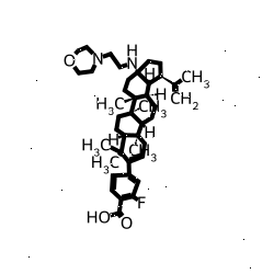 C=C(C)[C@@H]1CC[C@]2(NCCN3CCOCC3)CC[C@]3(C)[C@H](CC[C@@H]4[C@@]5(C)CC=C(c6ccc(C(=O)O)c(F)c6)C(C)(C)[C@@H]5CC[C@]43C)[C@@H]12